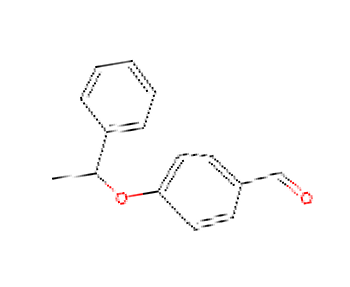 CC(Oc1ccc(C=O)cc1)c1ccccc1